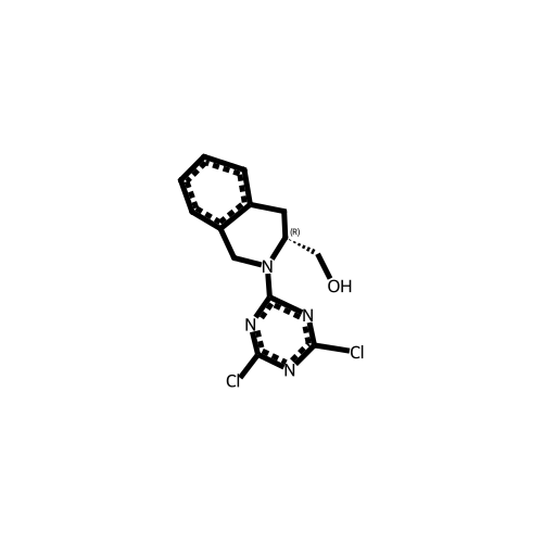 OC[C@H]1Cc2ccccc2CN1c1nc(Cl)nc(Cl)n1